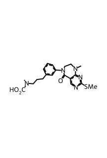 CSc1ncc2c(n1)N(C)CCN(c1cccc(CCCN(C)C(=O)O)c1)C2=O